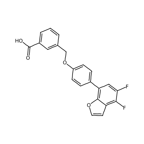 O=C(O)c1cccc(COc2ccc(-c3cc(F)c(F)c4ccoc34)cc2)c1